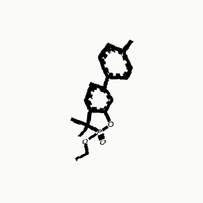 CCOP1(=O)Oc2cc(-c3ccc(C)cc3)ccc2C1(C)C